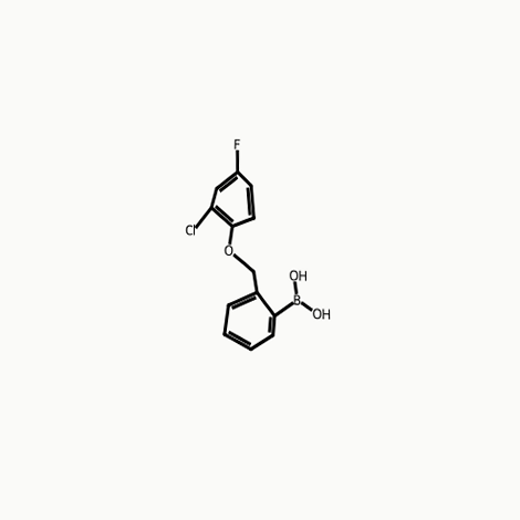 OB(O)c1ccccc1COc1ccc(F)cc1Cl